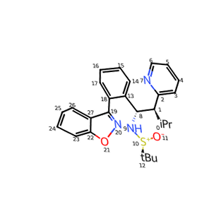 CC(C)[C@H](c1ccccn1)[C@H](N[S@@+]([O-])C(C)(C)C)c1ccccc1-c1noc2ccccc12